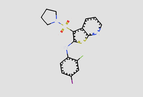 O=S(=O)(c1c(Nc2ccc(I)cc2F)sc2ncccc12)N1CCCC1